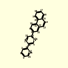 c1ccc(-c2cnc(-c3ccc4c(ccc5ccccc54)c3)cn2)nc1